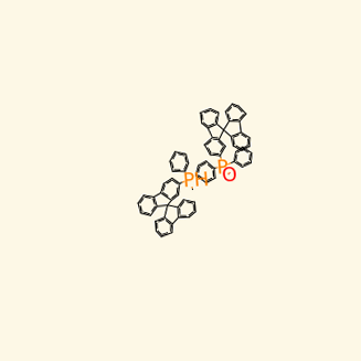 C[PH](c1ccccc1)(c1ccc(P(=O)(c2ccccc2)c2ccc3c(c2)C2(c4ccccc4-c4ccccc42)c2ccccc2-3)cc1)c1ccc2c(c1)C1(c3ccccc3-c3ccccc31)c1ccccc1-2